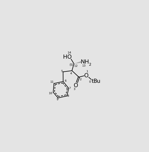 CC(C)(C)OC(=O)C(Cc1ccccc1)[C@@H](N)O